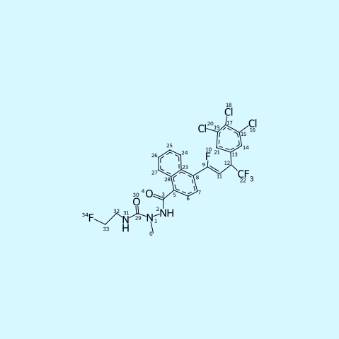 CN(NC(=O)c1ccc(/C(F)=C/C(c2cc(Cl)c(Cl)c(Cl)c2)C(F)(F)F)c2ccccc12)C(=O)NCCF